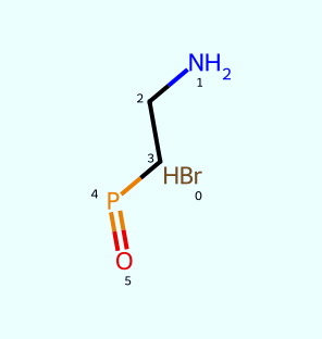 Br.NCCP=O